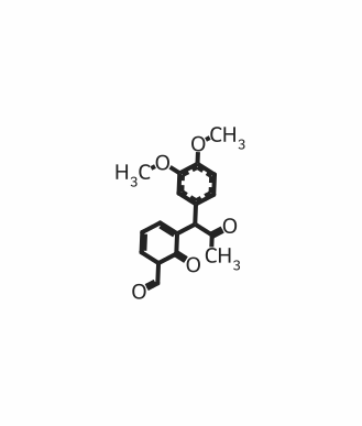 COc1ccc(C(C(C)=O)C2=CC=CC(C=O)C2=O)cc1OC